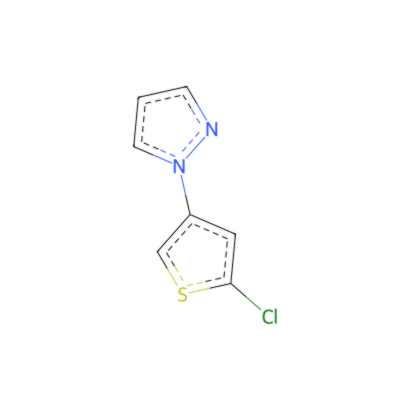 Clc1cc(-n2cccn2)cs1